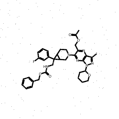 CC(=O)OCc1nc2c(I)nn(C3CCCCO3)c2nc1N1CCC2C(C1)C2(CNC(=O)OCc1ccccc1)c1cccc(F)c1